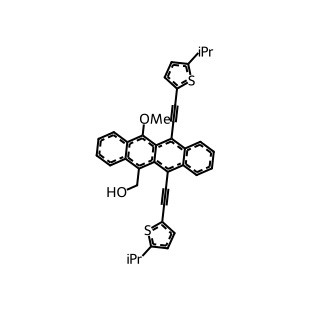 COc1c2ccccc2c(CO)c2c(C#Cc3ccc(C(C)C)s3)c3ccccc3c(C#Cc3ccc(C(C)C)s3)c12